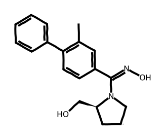 Cc1cc(C(=NO)N2C[CH]C[C@H]2CO)ccc1-c1ccccc1